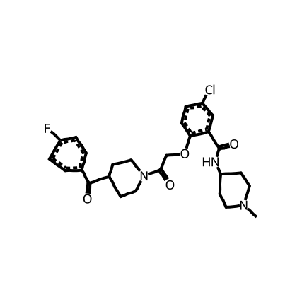 CN1CCC(NC(=O)c2cc(Cl)ccc2OCC(=O)N2CCC(C(=O)c3ccc(F)cc3)CC2)CC1